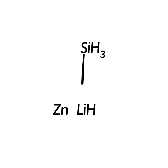 C[SiH3].[LiH].[Zn]